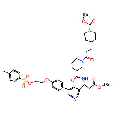 Cc1ccc(S(=O)(=O)OCCOc2ccc(-c3cncc(C(CC(=O)OC(C)(C)C)NC(=O)[C@@H]4CCCN(C(=O)CCC5CCN(C(=O)OC(C)(C)C)CC5)C4)c3)cc2)cc1